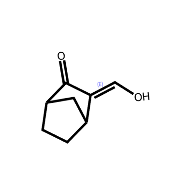 O=C1/C(=C/O)C2CCC1C2